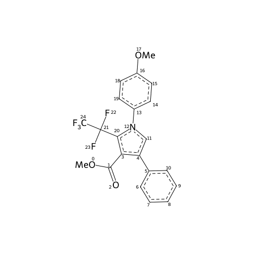 COC(=O)c1c(-c2ccccc2)cn(-c2ccc(OC)cc2)c1C(F)(F)C(F)(F)F